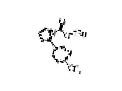 CC(C)(C)OC(=O)n1cccc1-c1ccc(C(F)(F)F)nc1